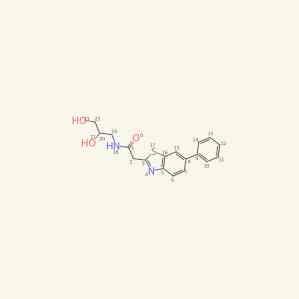 O=C(Cc1nc2ccc(-c3ccccc3)cc2s1)NCC(O)CO